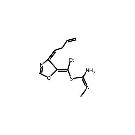 C=CC/C=c1/nco/c1=C(/CC)S/C(N)=N\C